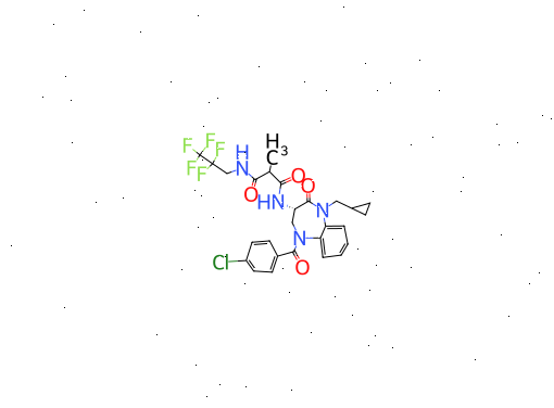 CC(C(=O)NCC(F)(F)C(F)(F)F)C(=O)N[C@H]1CN(C(=O)c2ccc(Cl)cc2)c2ccccc2N(CC2CC2)C1=O